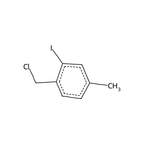 Cc1ccc(CCl)c(I)c1